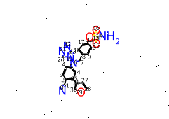 N#Cc1ccc(N(Cc2ccc(OS(N)(=O)=O)cc2)n2cnnc2)cc1-c1ccoc1